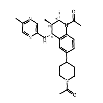 CC(=O)N1CCC(c2ccc3c(c2)[C@H](Nc2cnc(C)cn2)[C@@H](C)[C@H](C)N3C(C)=O)CC1